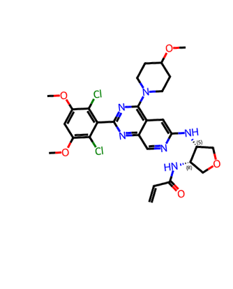 C=CC(=O)N[C@H]1COC[C@H]1Nc1cc2c(N3CCC(OC)CC3)nc(-c3c(Cl)c(OC)cc(OC)c3Cl)nc2cn1